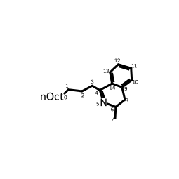 CCCCCCCCCCCC1=NC(C)Cc2ccccc21